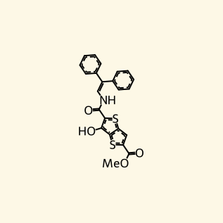 COC(=O)c1cc2sc(C(=O)NC=C(c3ccccc3)c3ccccc3)c(O)c2s1